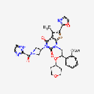 COc1ccccc1C(Cn1c(=O)n(C2CN(C(=O)c3ncc[nH]3)C2)c(=O)c2c(C)c(-c3ncco3)sc21)OC1CCOCC1